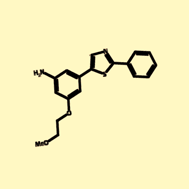 COCCOc1cc(N)cc(-c2[c]nc(-c3ccccc3)s2)c1